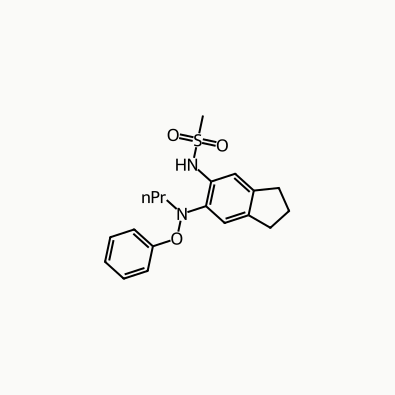 CCCN(Oc1ccccc1)c1cc2c(cc1NS(C)(=O)=O)CCC2